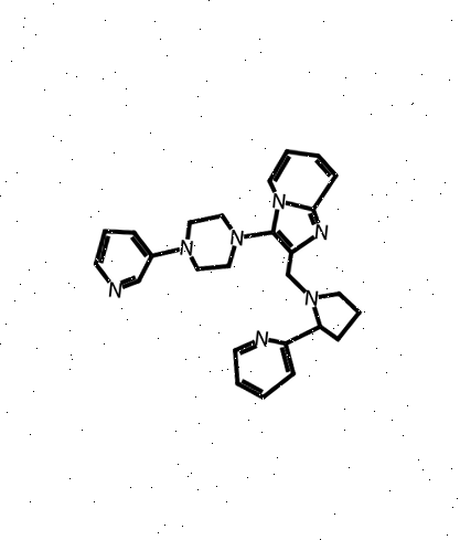 c1ccc(C2CCCN2Cc2nc3ccccn3c2N2CCN(c3cccnc3)CC2)nc1